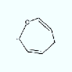 [C]1C=CCC=CO1